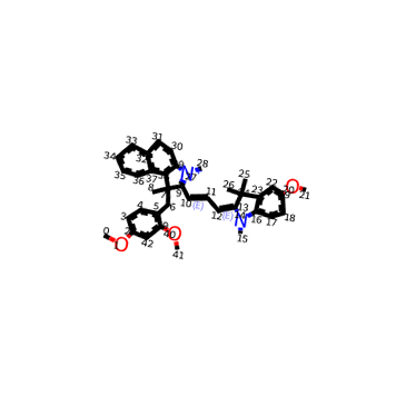 COc1ccc(CC2(C)C(/C=C/C=C3/N(C)c4ccc(OC)cc4C3(C)C)=[N+](C)c3ccc4ccccc4c32)c(OC)c1